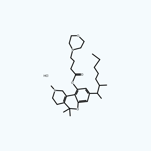 CCCCCC(C)C(C)c1cc(OC(=O)CCCN2CCOCC2)c2c(c1)OC(C)(C)C1=C2CN(C)CC1.Cl